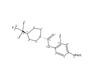 CCCCCc1ccc(OC(=O)[C@H]2CC[C@H](C(F)(F)C(F)(F)F)CC2)c(F)c1